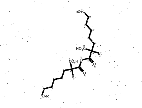 CCCCCCCCCCCCCCCC(CC)(C(=O)O)C(=O)OC(=O)C(CC)(CCCCCCCCCCCCCCC)C(=O)O